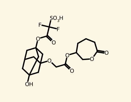 O=C1CCCC(OC(=O)COC23CC4CC(O)(C2)CC(OC(=O)C(F)(F)S(=O)(=O)O)(C4)C3)CO1